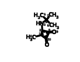 Cc1c(NC(C)(C)C)c(=O)c1=O